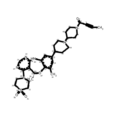 CC#CC(=O)N1CCC(N2CCC(c3cc(C)c4c(c3)Nc3ncnc(N5CCS(=O)(=O)CC5)c3[C@@H](C)O4)CC2)CC1